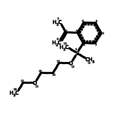 C=C(C)c1ccccc1[Si](C)(C)OCCCOCC